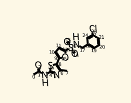 CC(=O)Nc1nc(C)c(-c2ccc(S(=O)(=O)NCc3cccc(Cl)c3)o2)s1